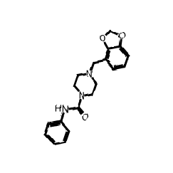 O=C(Nc1ccccc1)N1CCN(Cc2cccc3c2OCO3)CC1